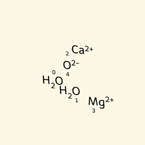 O.O.[Ca+2].[Mg+2].[O-2]